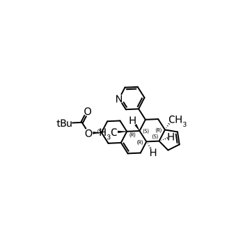 CC(C)(C)C(=O)O[C@H]1CC[C@@]2(C)C(=CC[C@H]3[C@H]2C(c2cccnc2)C[C@@]2(C)C=CC[C@@H]32)C1